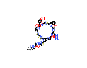 C=C(NC(=O)C(=C)NC(=O)c1csc(-c2ccc3c(n2)-c2csc(n2)-c2csc(n2)C2[C@@H](C)CC(O)N2C(=O)[C@H](Cc2ccc(O)cc2)N=C(O)C2CSC(=N2)[C@H](Cc2ccccc2)N=C(O)c2csc(n2)[C@H](CC(N)=O)N=C(O)C2=CCC3=N2)n1)C(=O)O